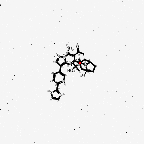 CC(=O)c1c(C2CC3CC[C@H](C2)N3C(=O)C(C)(C)O)nc2c(-c3ccc(-c4nccs4)nc3)cnn2c1N